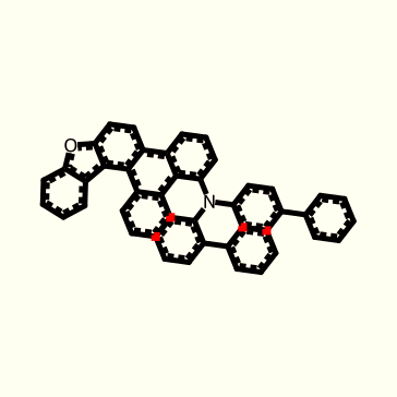 c1ccc(-c2ccc(N(c3ccccc3-c3ccccc3)c3cccc4c5ccc6oc7ccccc7c6c5c5ccccc5c34)cc2)cc1